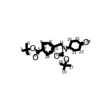 CC(C)(C)OC(=O)c1ccc(CN(C(=O)OC(C)(C)C)C2CCC(=O)CC2)cc1